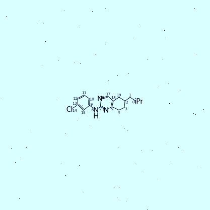 CC(C)CC1CCc2nc(Nc3cccc(Cl)c3)ncc2C1